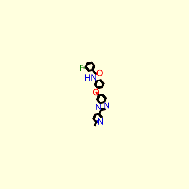 Cc1ccc(-c2cnc3ccc(Oc4cccc(NC(=O)c5cccc(F)c5)c4)cc3n2)cn1